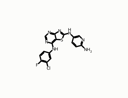 Nc1ccc(Nc2nc3ncnc(Nc4ccc(F)c(Cl)c4)c3s2)cn1